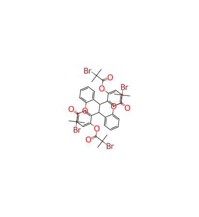 CC(C)(Br)C(=O)Oc1ccccc1C(c1ccccc1OC(=O)C(C)(C)Br)C(c1ccccc1OC(=O)C(C)(C)Br)c1ccccc1OC(=O)C(C)(C)Br